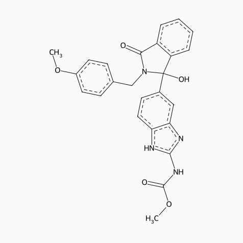 COC(=O)Nc1nc2cc(C3(O)c4ccccc4C(=O)N3Cc3ccc(OC)cc3)ccc2[nH]1